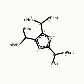 CCCCCCC(CCCCC)c1nc(C(CCCC)CCCCC)sc1C(CCCCC)CCCCCC